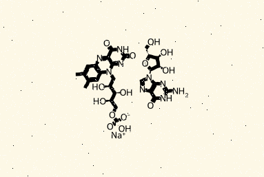 Cc1cc2nc3c(=O)[nH]c(=O)nc-3n(C[C@H](O)[C@H](O)[C@H](O)COP(=O)([O-])O)c2cc1C.Nc1nc2c(ncn2[C@@H]2O[C@H](CO)[C@@H](O)[C@H]2O)c(=O)[nH]1.[Na+]